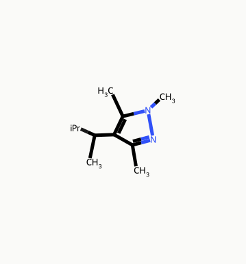 Cc1nn(C)c(C)c1C(C)C(C)C